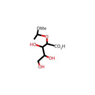 COC(C)OC(C(=O)O)C(O)C(O)CO